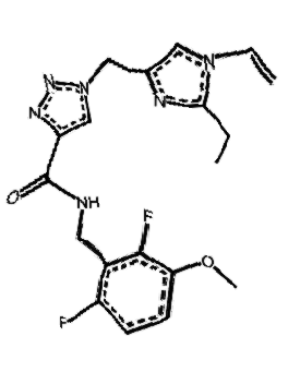 C=Cn1cc(Cn2cc(C(=O)NCc3c(F)ccc(OC)c3F)nn2)nc1CC